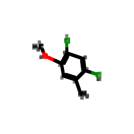 Bc1cc(OC)c(Cl)cc1Cl